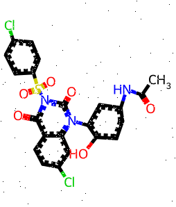 CC(=O)Nc1ccc(O)c(-n2c(=O)n(S(=O)(=O)c3ccc(Cl)cc3)c(=O)c3ccc(Cl)cc32)c1